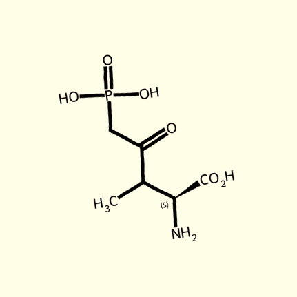 CC(C(=O)CP(=O)(O)O)[C@H](N)C(=O)O